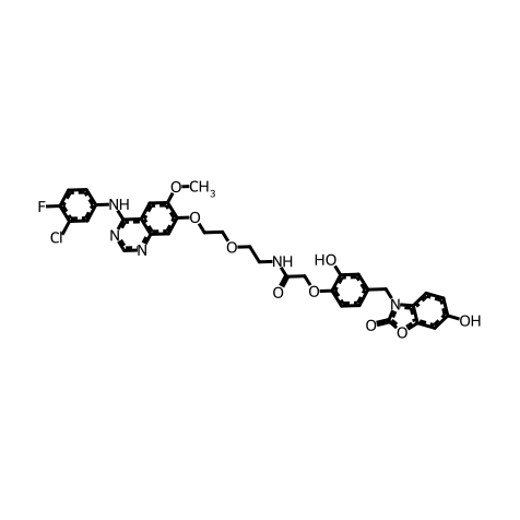 COc1cc2c(Nc3ccc(F)c(Cl)c3)ncnc2cc1OCCOCCNC(=O)COc1ccc(Cn2c(=O)oc3cc(O)ccc32)cc1O